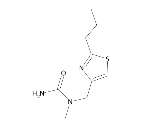 CCCc1nc(CN(C)C(N)=O)cs1